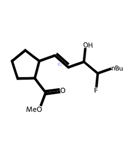 CCCCC(F)C(O)/C=C/C1CCCC1C(=O)OC